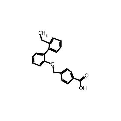 CCc1ccccc1-c1ccccc1OCc1ccc(C(=O)O)cc1